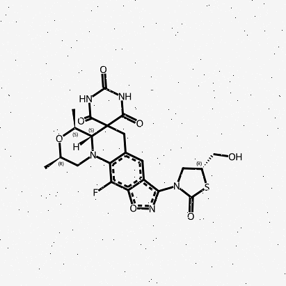 C[C@@H]1CN2c3c(cc4c(N5C[C@H](CO)SC5=O)noc4c3F)CC3(C(=O)NC(=O)NC3=O)[C@H]2[C@H](C)O1